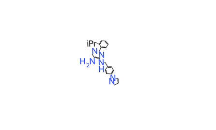 CC(C)c1ccccc1-c1ncc(N)c(NCc2ccc(-n3cccn3)cc2)n1